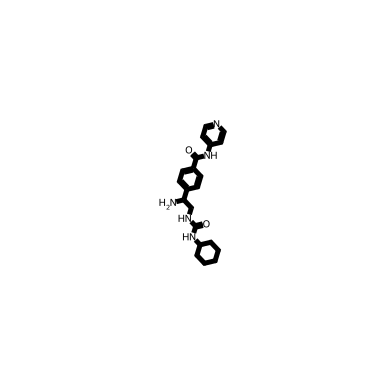 NC(CNC(=O)NC1CCCCC1)c1ccc(C(=O)Nc2ccncc2)cc1